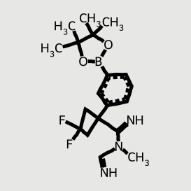 CN(C=N)C(=N)C1(c2cccc(B3OC(C)(C)C(C)(C)O3)c2)CC(F)(F)C1